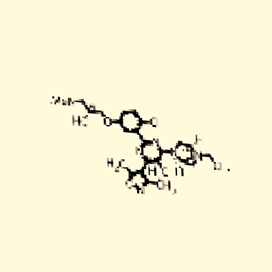 CNC[C@@H](O)COc1ccc(Cl)c(-c2nc(-c3c(C)noc3C)c(C)c(N3C[C@@H]4C[C@H]3CN4CC(F)(F)F)n2)c1